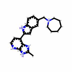 Cc1nc2c(-c3cc4cc(CN5CCCCCC5)ccc4[nH]3)ccnc2[nH]1